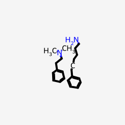 CN(C)CCc1ccccc1.NCCCCCCc1ccccc1